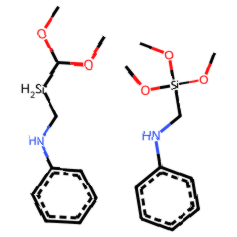 COC(OC)[SiH2]CNc1ccccc1.CO[Si](CNc1ccccc1)(OC)OC